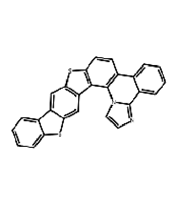 c1ccc2c(c1)sc1cc3c(cc12)sc1ccc2c4ccccc4c4nccn4c2c13